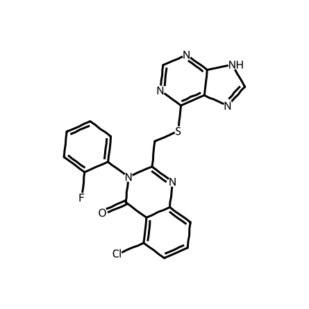 O=c1c2c(Cl)cccc2nc(CSc2ncnc3[nH]cnc23)n1-c1ccccc1F